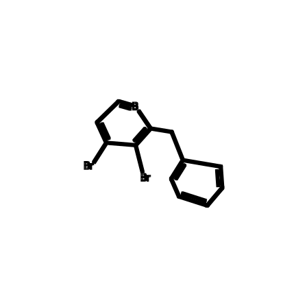 Brc1ccbc(Cc2ccccc2)c1Br